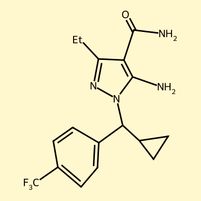 CCc1nn(C(c2ccc(C(F)(F)F)cc2)C2CC2)c(N)c1C(N)=O